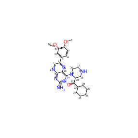 COc1ccc(-c2cnc3nc(N)nc(N4CCNCC4C(=O)C4CCCCC4)c3n2)cc1OC